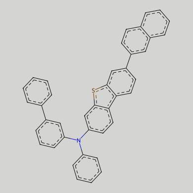 c1ccc(-c2cccc(N(c3ccccc3)c3ccc4c(c3)sc3cc(-c5ccc6ccccc6c5)ccc34)c2)cc1